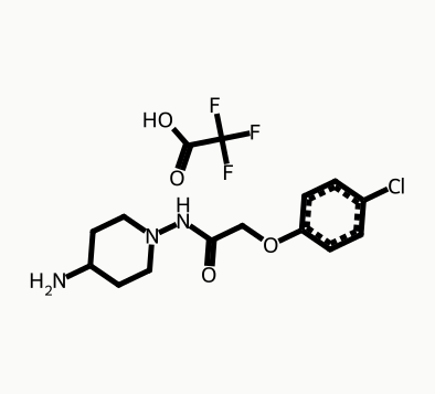 NC1CCN(NC(=O)COc2ccc(Cl)cc2)CC1.O=C(O)C(F)(F)F